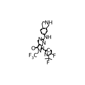 CC(C)(F)c1nc(-n2c3nc(Nc4ccc5c(c4)CNCC5)ncc3c(=O)n2CC(F)(F)F)ccc1F